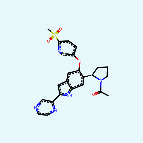 CC(=O)N1CCC[C@@H]1c1cc2[nH]c(-c3cnccn3)cc2cc1Oc1ccc(S(C)(=O)=O)nc1